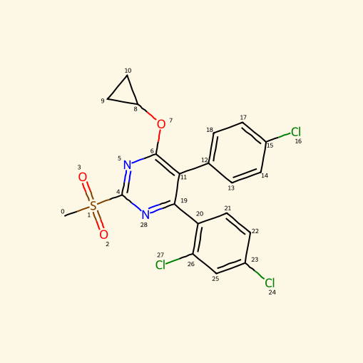 CS(=O)(=O)c1nc(OC2CC2)c(-c2ccc(Cl)cc2)c(-c2ccc(Cl)cc2Cl)n1